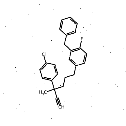 C#CC(C)(CCCc1ccc(F)c(Cc2ccccc2)c1)c1ccc(Cl)cc1